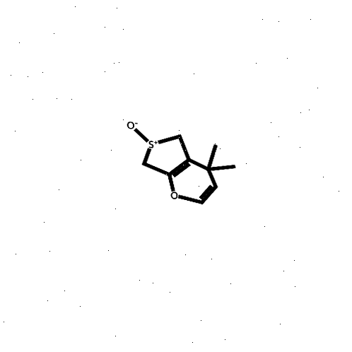 CC1(C)C=COC2=C1C[S+]([O-])C2